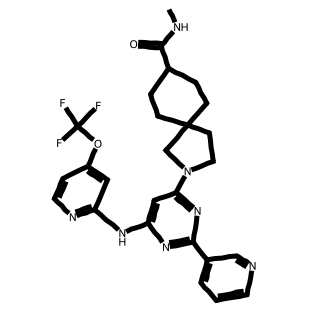 CNC(=O)C1CCC2(CC1)CCN(c1cc(Nc3cc(OC(F)(F)F)ccn3)nc(-c3cccnc3)n1)C2